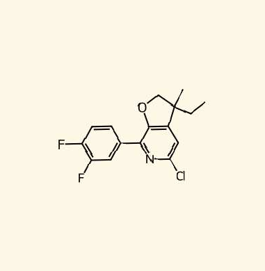 CCC1(C)COc2c1cc(Cl)nc2-c1ccc(F)c(F)c1